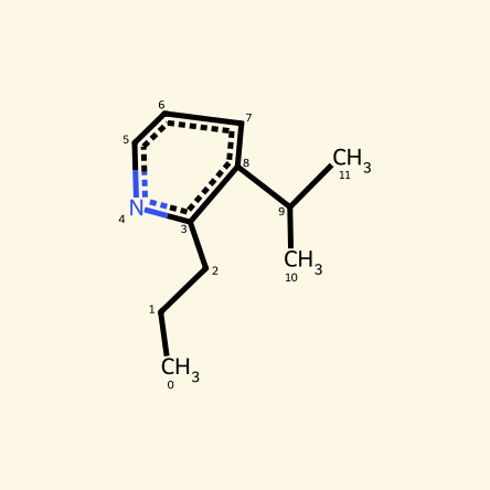 CCCc1ncccc1C(C)C